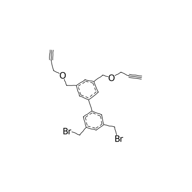 C#CCOCc1cc(COCC#C)cc(-c2cc(CBr)cc(CBr)c2)c1